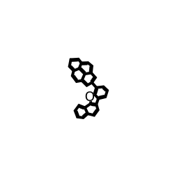 c1ccc2c(c1)ccc1c3cccc(-c4cc5ccc6cccc7ccc(c4)c5c67)c3oc21